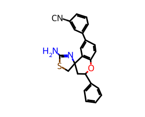 [C-]#[N+]c1cccc(-c2ccc3c(c2)C2(CSC(N)=N2)CC(c2ccccc2)O3)c1